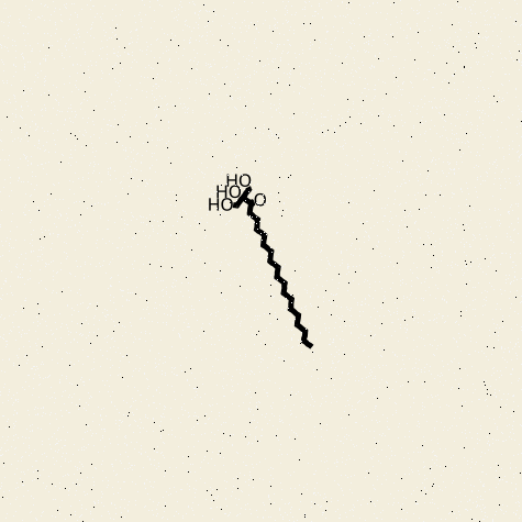 CCCCCCCCCCCCCCCCCCC(=O)C(O)(CO)CO